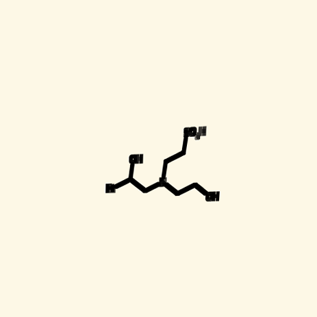 CCC(O)CN(CCO)CCS(=O)(=O)O